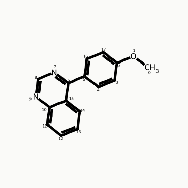 COc1ccc(-c2ncnc3ccccc23)cc1